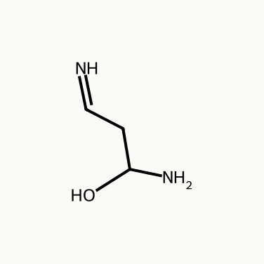 N=CCC(N)O